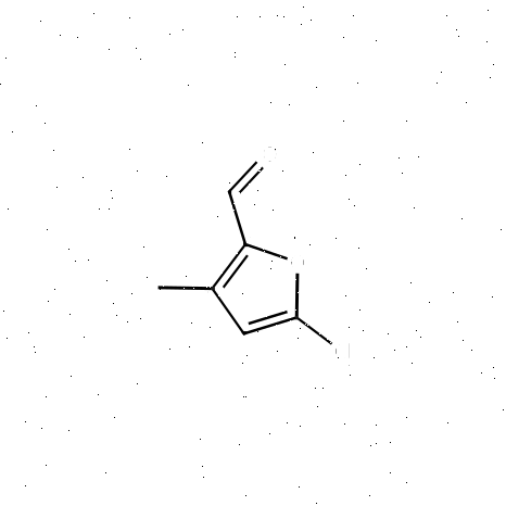 Cc1cc(Cl)oc1C=O